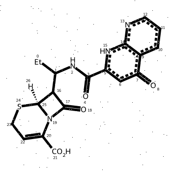 CCC(NC(=O)c1cc(=O)c2cccnc2[nH]1)C1C(=O)N2C(C(=O)O)=CCS[C@@H]12